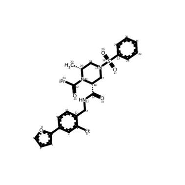 CCc1cc(-c2ccco2)ccc1CNC(=O)[C@H]1CN(S(=O)(=O)c2ccccc2)C[C@@H](C)N1C(=O)C(C)C